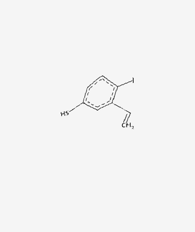 C=Cc1cc(S)ccc1I